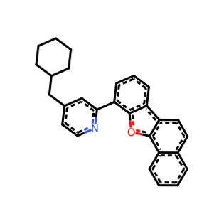 c1ccc2c(c1)ccc1c3cccc(-c4cc(CC5CCCCC5)ccn4)c3oc21